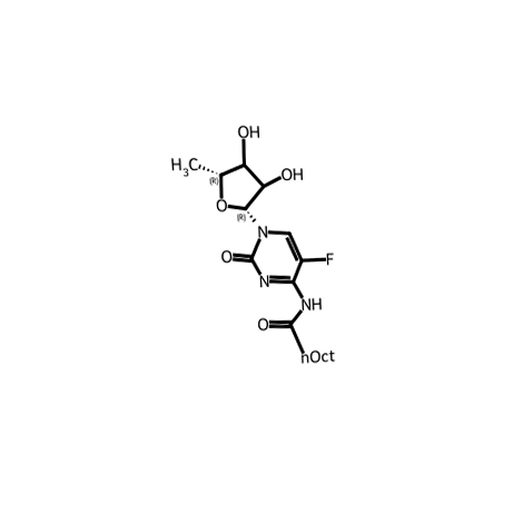 CCCCCCCCC(=O)Nc1nc(=O)n([C@@H]2O[C@H](C)C(O)C2O)cc1F